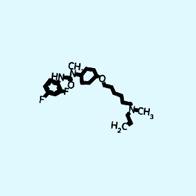 C=CCN(C)CCCCCCOC1CCC(N(C)C(=O)Nc2ccc(F)cc2F)CC1